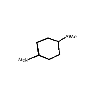 CNC1CCC(SC)CC1